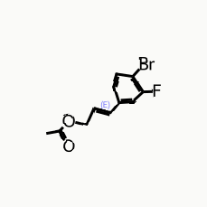 CC(=O)OC/C=C/c1ccc(Br)c(F)c1